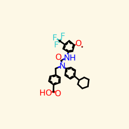 COc1cc(NC(=O)N(Cc2ccc(C(=O)O)cc2)c2ccc(C3CCCCC3)cc2)cc(C(F)(F)F)c1